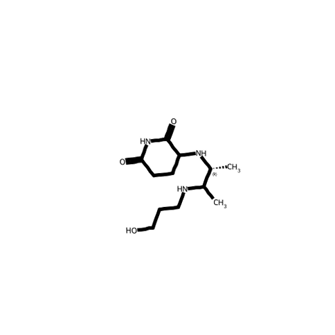 CC(NCCCO)[C@@H](C)NC1CCC(=O)NC1=O